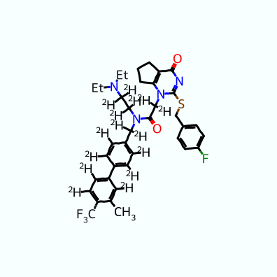 [2H]c1c([2H])c(C([2H])([2H])N(C(=O)C([2H])([2H])n2c(SCc3ccc(F)cc3)nc(=O)c3c2CCC3)C([2H])([2H])C([2H])([2H])N(CC)CC)c([2H])c([2H])c1-c1c([2H])c([2H])c(C(F)(F)F)c(C)c1[2H]